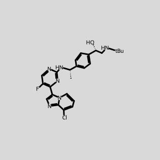 C[C@H](Nc1ncc(F)c(-c2cnc3c(Cl)cccn23)n1)c1ccc([C@H](O)CNC(C)(C)C)cc1